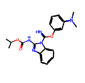 CC(C)OC(=O)Nc1nc2ccccc2n1C(=N)Oc1cccc(N(C)C)c1